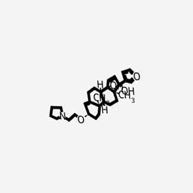 C[C@]12CC[C@H]3[C@@H](CCC4=C[C@@H](OCCN5CCCC5)CC[C@@]43C)[C@@]1(O)C=C[C@]2(O)c1ccoc1